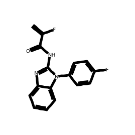 C=C(F)C(=O)Nc1nc2ccccc2n1-c1ccc(F)cc1